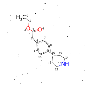 CCOC(=O)Cc1ccc(C2CCNCC2)cc1